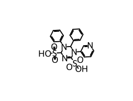 O=S(=O)(O)C1=NC(S(=O)(=O)O)N(c2ccccc2)C(c2ccccc2)N1c1cccnc1